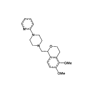 COc1ccc2c(c1OC)CCOC2CN1CCN(c2ccccn2)CC1